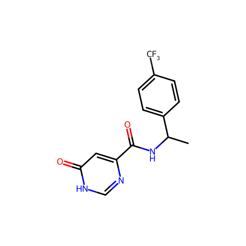 CC(NC(=O)c1cc(=O)[nH]cn1)c1ccc(C(F)(F)F)cc1